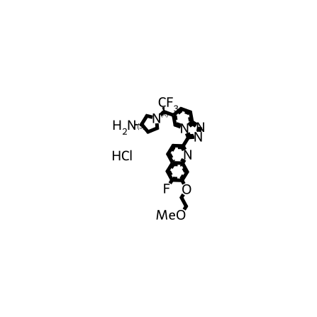 COCCOc1cc2nc(-c3nnc4ccc([C@@H](N5CC[C@H](N)C5)C(F)(F)F)cn34)ccc2cc1F.Cl